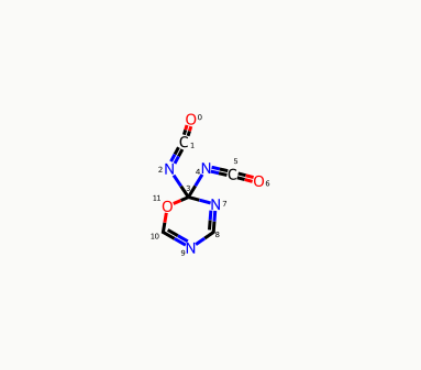 O=C=NC1(N=C=O)N=CN=CO1